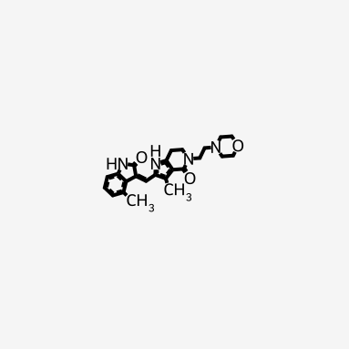 Cc1cccc2c1C(=Cc1[nH]c3c(c1C)C(=O)N(CCN1CCOCC1)CC3)C(=O)N2